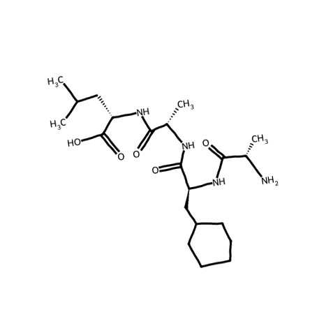 CC(C)C[C@H](NC(=O)[C@H](C)NC(=O)[C@H](CC1CCCCC1)NC(=O)[C@H](C)N)C(=O)O